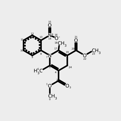 COC(=O)C1=C(C)N(c2ccccc2[N+](=O)[O-])C(C)=C(C(=O)OC)C1